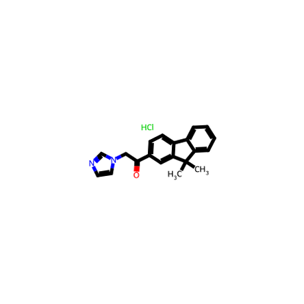 CC1(C)c2ccccc2-c2ccc(C(=O)Cn3ccnc3)cc21.Cl